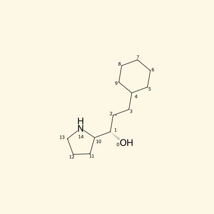 O[C@@H]([CH]CC1CCCCC1)C1CCCN1